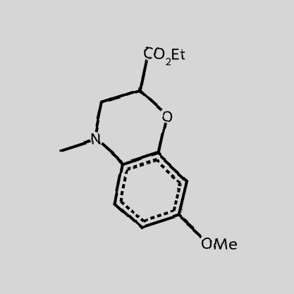 CCOC(=O)C1CN(C)c2ccc(OC)cc2O1